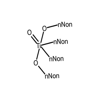 CCCCCCCCC[O][Ti](=[O])([CH2]CCCCCCCC)([CH2]CCCCCCCC)[O]CCCCCCCCC